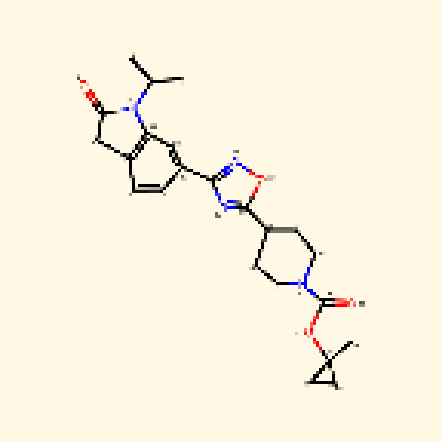 CC(C)N1C(=O)Cc2ccc(-c3noc(C4CCN(C(=O)OC5(C)CC5)CC4)n3)cc21